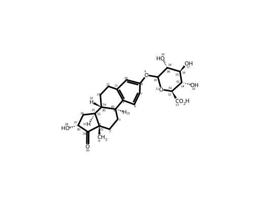 C[C@]12CC[C@@H]3c4ccc(OC5O[C@H](C(=O)O)[C@@H](O)[C@H](O)[C@H]5O)cc4CC[C@H]3[C@@H]1C[C@@H](O)C2=O